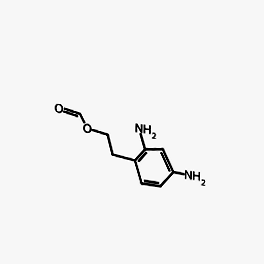 Nc1ccc(CCOC=O)c(N)c1